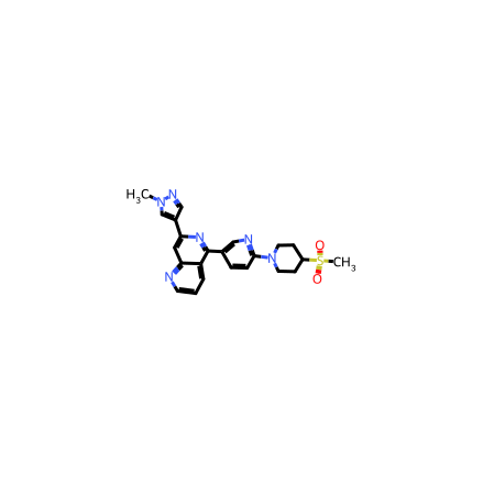 Cn1cc(-c2cc3ncccc3c(-c3ccc(N4CCC(S(C)(=O)=O)CC4)nc3)n2)cn1